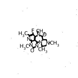 Cc1nc2c3c(nc(=O)n2C)N2C(C)CN(C)CC2C(=O)N(C)c3c1F